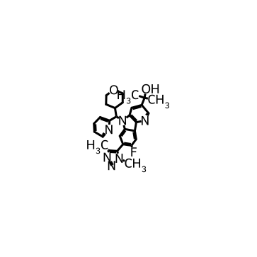 Cc1nnn(C)c1-c1cc2c(cc1F)c1ncc(C(C)(C)O)cc1n2C(c1ccccn1)C1CCOCC1